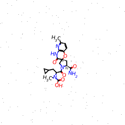 Cc1ccc2c(n1)NC(=O)[C@]1(C[C@@H](C(N)=O)N(C(=O)C(CC3CC3)N(C)C(=O)O)C1)O2